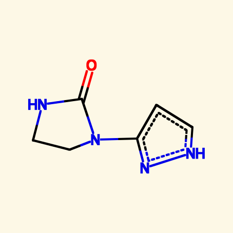 O=C1NCCN1c1cc[nH]n1